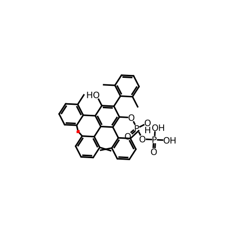 Cc1cccc(C)c1-c1c(O)c(-c2c(C)cccc2C)c(-c2c(C)cccc2C)c(-c2c(C)cccc2C)c1OP(=O)(O)OP(=O)(O)O